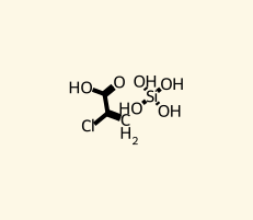 C=C(Cl)C(=O)O.O[Si](O)(O)O